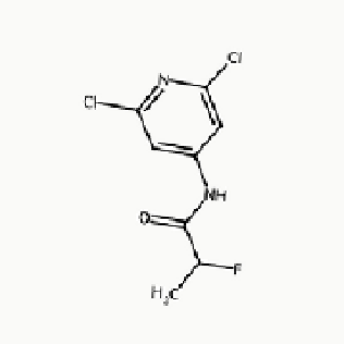 CC(F)C(=O)Nc1cc(Cl)nc(Cl)c1